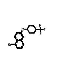 FC(F)(F)C1CCC(Oc2ccc3c(Br)cccc3c2)CC1